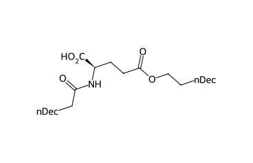 CCCCCCCCCCCCOC(=O)CC[C@@H](NC(=O)CCCCCCCCCCC)C(=O)O